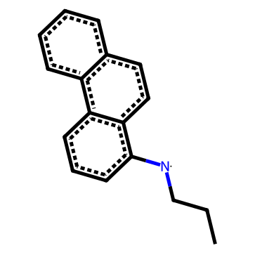 CCC[N]c1cccc2c1ccc1ccccc12